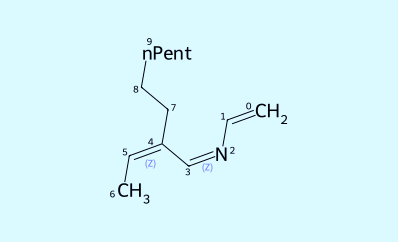 C=C/N=C\C(=C/C)CCCCCCC